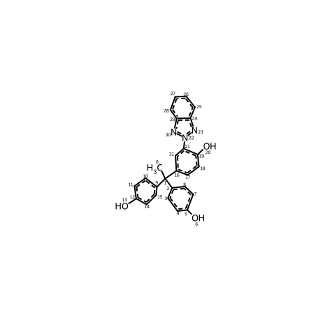 CC(c1ccc(O)cc1)(c1ccc(O)cc1)c1ccc(O)c(-n2nc3ccccc3n2)c1